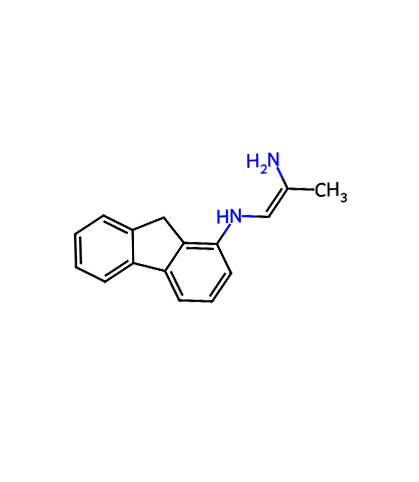 C/C(N)=C/Nc1cccc2c1Cc1ccccc1-2